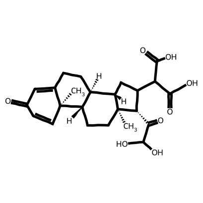 C[C@]12CC[C@H]3[C@@H](CCC4=CC(=O)C=C[C@@]43C)[C@@H]1CC(C(C(=O)O)C(=O)O)[C@@H]2C(=O)C(O)O